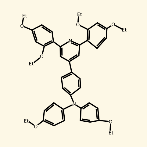 CCOc1ccc(N(c2ccc(OCC)cc2)c2ccc(-c3cc(-c4ccc(OCC)cc4OCC)nc(-c4ccc(OCC)cc4OCC)c3)cc2)cc1